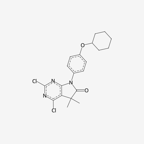 CC1(C)C(=O)N(c2ccc(OC3CCCCC3)cc2)c2nc(Cl)nc(Cl)c21